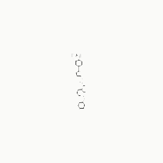 O=C(NCc1ccc(-c2ccc3c(c2)CNN3)s1)c1cccn(Cc2ccc(F)c(F)c2)c1=O